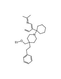 C=C/C(=C\N=C(C)C)C1(N2CCC(CCc3ccccc3)(COCC)CC2)CCCCC1